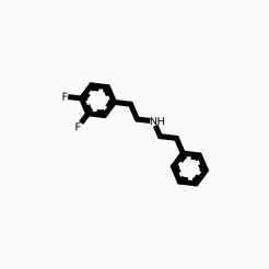 Fc1ccc(CCNCCc2ccccc2)cc1F